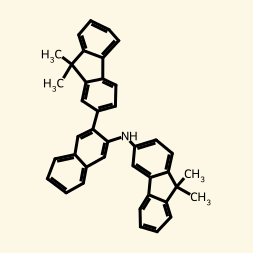 CC1(C)c2ccccc2-c2cc(Nc3cc4ccccc4cc3-c3ccc4c(c3)C(C)(C)c3ccccc3-4)ccc21